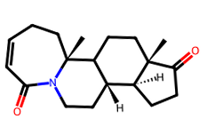 C[C@]12CCC3[C@@H](CCN4C(=O)C=CCC[C@]34C)[C@@H]1CCC2=O